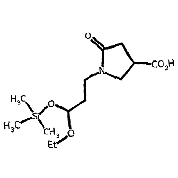 CCOC(CCN1CC(C(=O)O)CC1=O)O[Si](C)(C)C